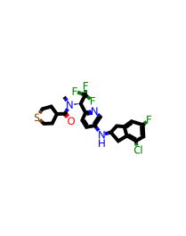 CN(C(=O)C1CCSCC1)[C@@H](c1ccc(NC2Cc3cc(F)cc(Cl)c3C2)cn1)C(F)(F)F